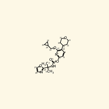 CC(C)(NC(=O)Oc1ccc(C2CCOCC2)c(OCC2CC2)n1)c1ncco1